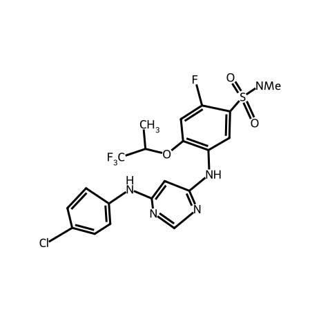 CNS(=O)(=O)c1cc(Nc2cc(Nc3ccc(Cl)cc3)ncn2)c(OC(C)C(F)(F)F)cc1F